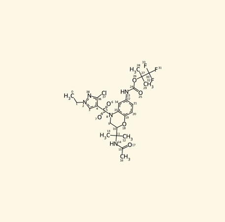 CCn1cc(S(=O)(=O)N2CC(C(C)(C)NC(C)=O)Oc3ccc(NC(=O)OC(C)(C)C(F)(F)F)cc32)c(Cl)n1